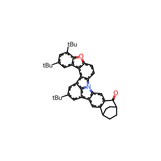 CC(C)(C)c1cc(C(C)(C)C)c2oc3ccc4c(c5cc(C(C)(C)C)cc6c7cc8c(cc7n4c65)C(=O)C4CCC8CC4)c3c2c1